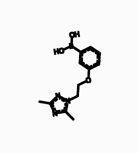 Cc1nc(C)n(CCOc2cccc(B(O)O)c2)n1